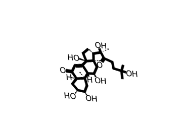 CC(C)(O)CCC(=O)[C@](C)(O)[C@H]1CC[C@@]2(O)C3=CC(=O)[C@@H]4C[C@@H](O)[C@@H](O)C[C@]4(C)[C@H]3[C@H](O)C[C@]12C